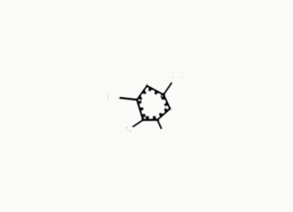 Cc1cc(C(C)(C)C)c(N)c(C(C)(C)C)c1